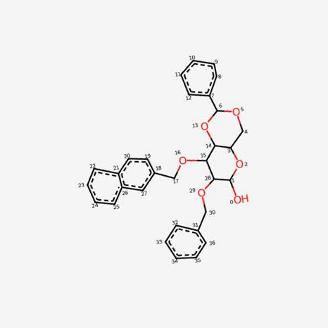 OC1OC2COC(c3ccccc3)OC2C(OCc2ccc3ccccc3c2)C1OCc1ccccc1